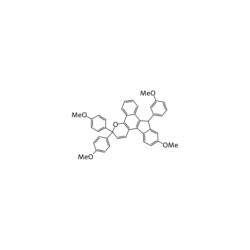 COc1ccc(C2(c3ccc(OC)cc3)C=Cc3c4c(c5ccccc5c3O2)C(c2cccc(OC)c2)c2cc(OC)ccc2-4)cc1